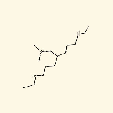 CCNCCC[C](CCCNCC)CN(C)C